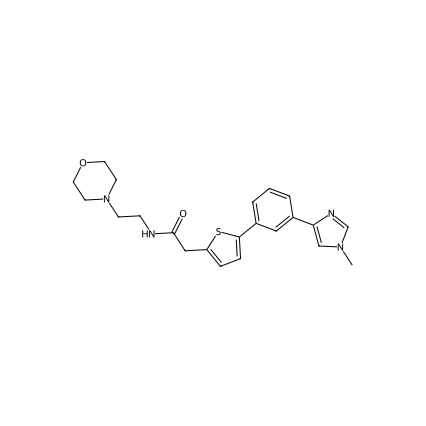 Cn1cnc(-c2cccc(-c3ccc(CC(=O)NCCN4CCOCC4)s3)c2)c1